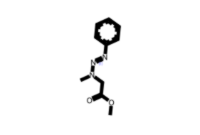 COC(=O)CN(C)/N=N/c1ccccc1